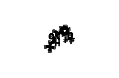 CC(NC(=O)CCC(C)(C)C)c1cccc(OC(F)F)c1